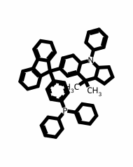 CC1(C)C2=CC(C3(c4ccc(P(C5=CCCCC5)C5CC=CCC5)cc4)C4=CCCC=C4C4=C3CCC=C4)=CCC2N(C2C=CC=CC2)C2CCCC21